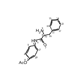 CC(=O)Oc1ccc(NC(=O)[C@@H](N)Cc2ccccc2)cc1